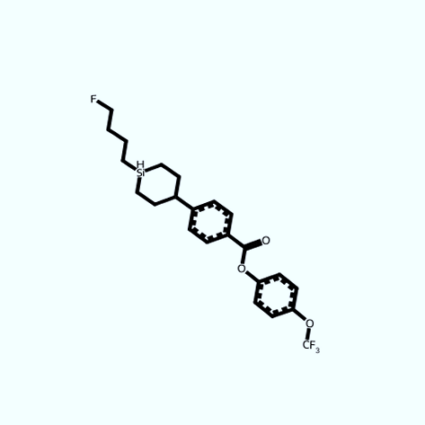 O=C(Oc1ccc(OC(F)(F)F)cc1)c1ccc(C2CC[SiH](CCCCF)CC2)cc1